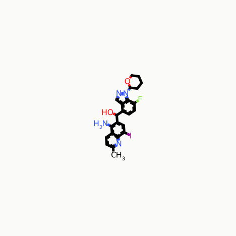 Cc1ccc2c(N)c(C(O)c3ccc(F)c4c3cnn4C3CCCCO3)cc(I)c2n1